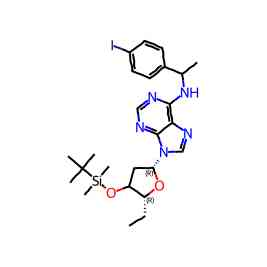 CC[C@H]1O[C@@H](n2cnc3c(NC(C)c4ccc(I)cc4)ncnc32)CC1O[Si](C)(C)C(C)(C)C